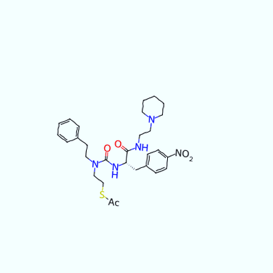 CC(=O)SCCN(CCc1ccccc1)C(=O)N[C@@H](Cc1ccc([N+](=O)[O-])cc1)C(=O)NCCN1CCCCC1